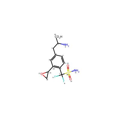 NC(Cc1ccc(C(F)(F)S(N)(=O)=O)c(C2CO2)c1)C(=O)O